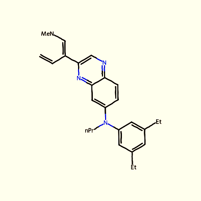 C=C/C(=C\NC)c1cnc2ccc(N(CCC)c3cc(CC)cc(CC)c3)cc2n1